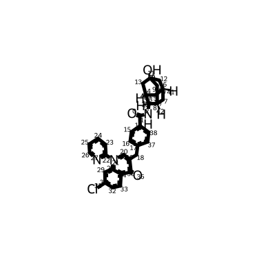 O=C(N[C@H]1[C@@H]2C[C@H]3C[C@H]1C[C@](O)(C3)C2)c1ccc(Cc2cn(-c3ccccn3)c3cc(Cl)ccc3c2=O)cc1